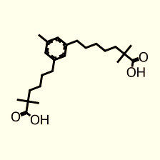 Cc1cc(CCCCCC(C)(C)C(=O)O)cc(CCCCC(C)(C)C(=O)O)c1